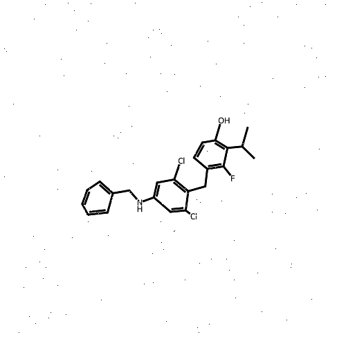 CC(C)c1c(O)ccc(Cc2c(Cl)cc(NCc3ccccc3)cc2Cl)c1F